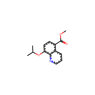 COC(=O)c1ccc(OC(C)C)c2ncccc12